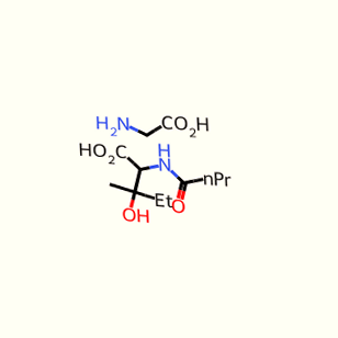 CCCC(=O)NC(C(=O)O)C(C)(O)CC.NCC(=O)O